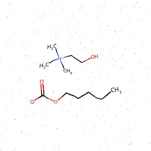 CCCCCOC(=O)[O-].C[N+](C)(C)CCO